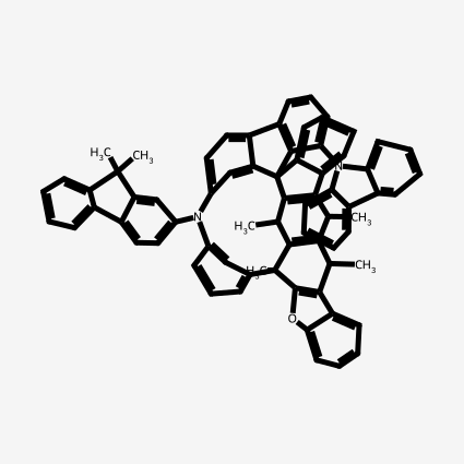 CC1C2=C3C(C)C4=C1C(C)c1c(oc5ccccc15)C4(C)c1cccc(c1)N(c1ccc4c(c1)C(C)(C)c1ccccc1-4)c1ccc4c(c1)C3(c1ccccc12)c1c-4cccc1-n1c2ccccc2c2ccccc21